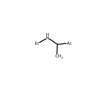 CCNC(C)C(C)=O